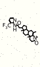 CC1=C2N(C)C(=O)CCC2(C)C2CCC3(C)C(CC(=O)Nc4ncccc4C(F)(F)F)CCC3C2C1